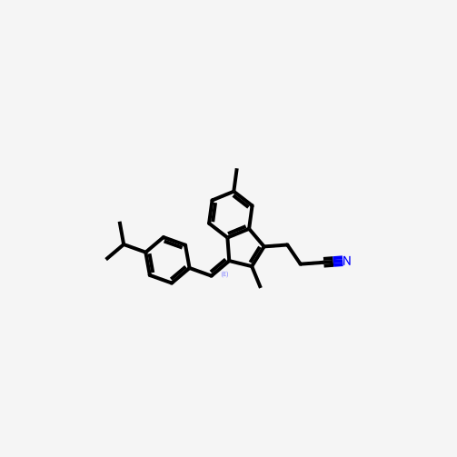 CC1=C(CCC#N)c2cc(C)ccc2/C1=C\c1ccc(C(C)C)cc1